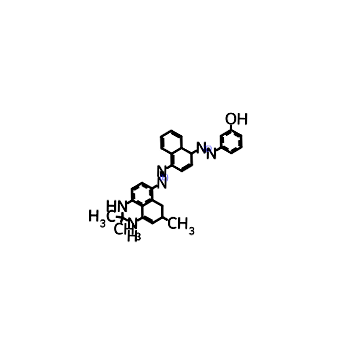 CC1C=C2NC(C)(C)Nc3ccc(/N=N/C4=C5C=CC=CC5C(/N=N/c5cccc(O)c5)C=C4)c(c32)C1